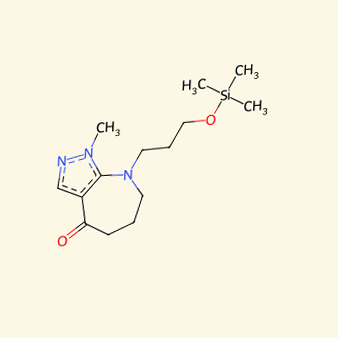 Cn1ncc2c1N(CCCO[Si](C)(C)C)CCCC2=O